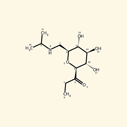 CCC(=O)[C@H]1O[C@@H](CNC(C)C)[C@H](O)[C@@H](O)[C@@H]1O